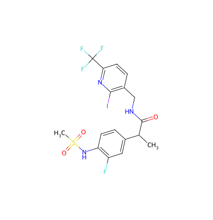 CC(C(=O)NCc1ccc(C(F)(F)F)nc1I)c1ccc(NS(C)(=O)=O)c(F)c1